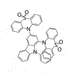 O=S1(=O)c2ccccc2N(c2cc(N3c4ccccc4S(=O)(=O)c4ccccc43)c3c(c2)c2ccccc2n3-c2ccccc2)c2ccccc21